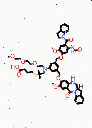 COCCOCCOCCN(CC(C)(C)SCCCC(=O)O)c1cc(COc2cc(NC=O)c(C(=O)N3CCc4ccccc43)cc2OC)cc(COc2cc3c(cc2OC)C(=O)N2c4ccccc4C[C@H]2CN3)c1